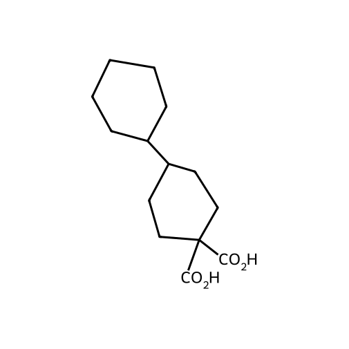 O=C(O)C1(C(=O)O)CCC(C2CCCCC2)CC1